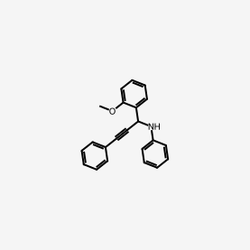 COc1ccccc1C(C#Cc1ccccc1)Nc1ccccc1